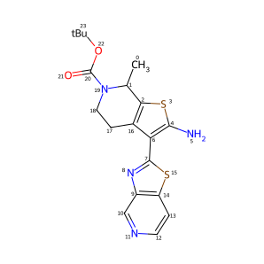 CC1c2sc(N)c(-c3nc4cnccc4s3)c2CCN1C(=O)OC(C)(C)C